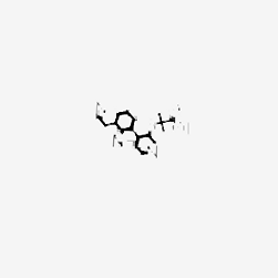 CC(C)(Sc1cnccc1-c1cccc(/C=C\N)c1N)C(=O)O